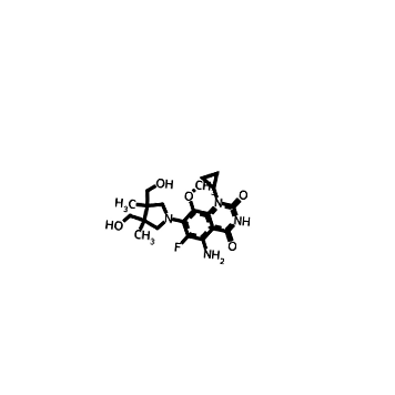 COc1c(N2CC(C)(CO)C(C)(CO)C2)c(F)c(N)c2c(=O)[nH]c(=O)n(C3CC3)c12